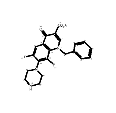 O=C(O)c1cn(Cc2ccccc2)c2c(F)c(N3CCNCC3)c(F)cc2c1=O